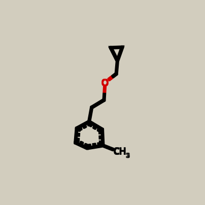 Cc1cccc(CCOCC2CC2)c1